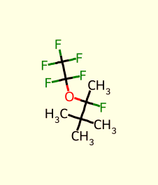 CC(C)(C)C(C)(F)OC(F)(F)C(F)(F)F